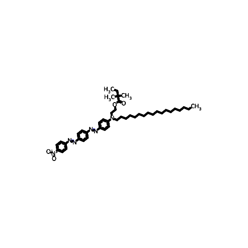 CCCCCCCCCCCCCCCCCCN(CCOC(=O)C(C)(C)CC)c1ccc(/N=N/c2ccc(/N=N/c3ccc([N+](=O)[O-])cc3)cc2)cc1